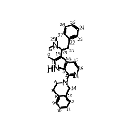 Cc1[nH]c2c(N3CCc4ccccc4C3)nccc2c1C(Cc1ccccc1)N(C)C